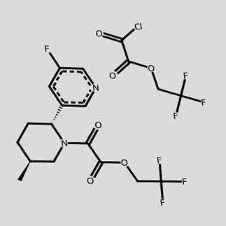 C[C@H]1CC[C@H](c2cncc(F)c2)N(C(=O)C(=O)OCC(F)(F)F)C1.O=C(Cl)C(=O)OCC(F)(F)F